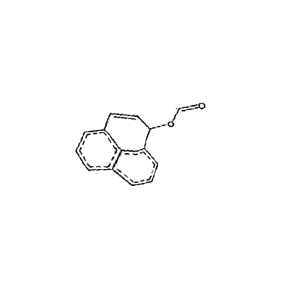 O=[C]OC1C=Cc2cccc3cccc1c23